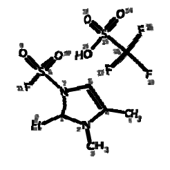 CCC1N(C)C(C)=CN1S(=O)(=O)F.O=S(=O)(O)C(F)(F)F